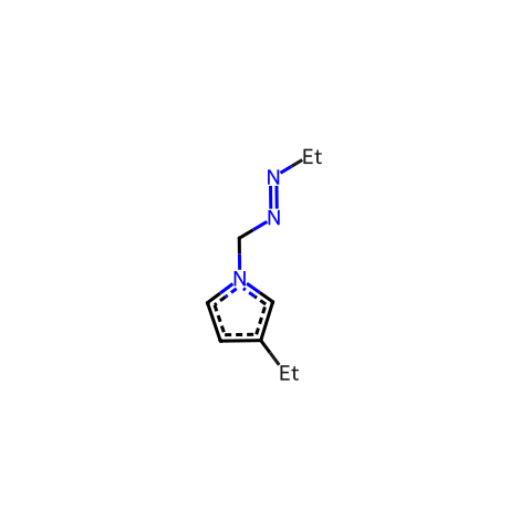 CCN=NCn1ccc(CC)c1